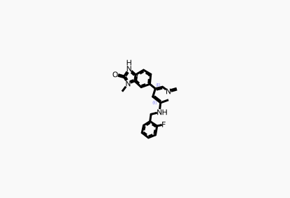 C=N/C=C(\C=C(/C)NCc1ccccc1F)c1ccc2[nH]c(=O)n(C)c2c1